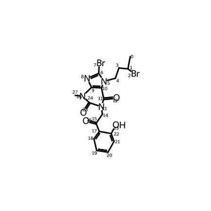 CC(Br)CCn1c(Br)nc2c1c(=O)n(CC(=O)c1ccccc1O)c(=O)n2C